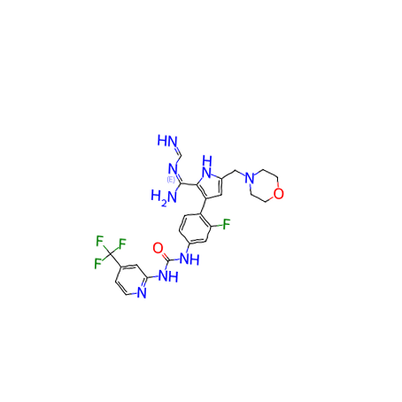 N=C/N=C(/N)c1[nH]c(CN2CCOCC2)cc1-c1ccc(NC(=O)Nc2cc(C(F)(F)F)ccn2)cc1F